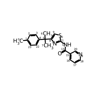 Cc1ccc(C(C)(C)c2csc(NC(=O)c3cccnc3)n2)cc1